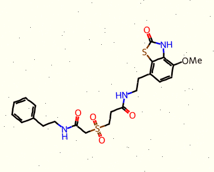 COc1ccc(CCNC(=O)CCS(=O)(=O)CC(=O)NCCc2ccccc2)c2sc(=O)[nH]c12